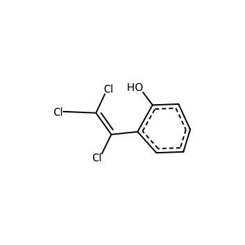 Oc1ccccc1C(Cl)=C(Cl)Cl